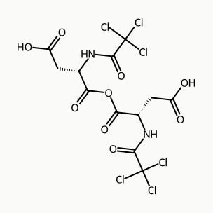 O=C(O)C[C@H](NC(=O)C(Cl)(Cl)Cl)C(=O)OC(=O)[C@H](CC(=O)O)NC(=O)C(Cl)(Cl)Cl